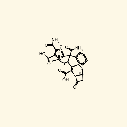 CC(=O)OC(C1=C(C(=O)O)N2C(=O)C[C@H]2SC1)C(C(N)=O)(c1ccccc1)c1nc(C(=O)O)c(C(N)=O)[nH]1